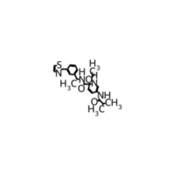 CCOC1(C(=O)NC(C)c2cccc(-c3nccs3)c2)C=CC(NC(=O)C(C)C)=CN1